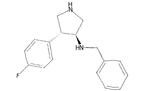 Fc1ccc([C@@H]2CNC[C@H]2NCc2ccccc2)cc1